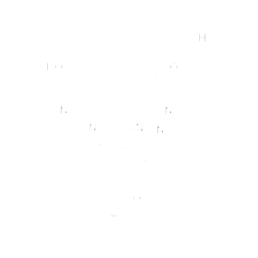 CCOC(=O)c1nnn2c1Cc1c(C(=O)O)ncn1-c1ccc(OC)cc1-2